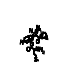 CSCCC(N)C(=O)OC12CC3C[C@H](C1)CC([C@H](N)C(=O)N1C4CC4C[C@H]1C#N)(C3)C2